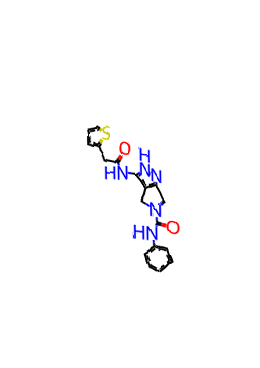 O=C(Cc1cccs1)Nc1[nH]nc2c1CN(C(=O)Nc1ccccc1)C2